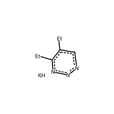 CCc1cnnnc1CC.[KH]